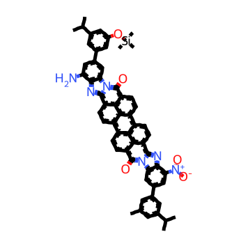 Cc1cc(-c2cc([N+](=O)[O-])c3nc4c5ccc6c7ccc8c(=O)n9c%10cc(-c%11cc(O[Si](C)(C)C)cc(C(C)C)c%11)cc(N)c%10nc9c9ccc(c%10ccc(c(=O)n4c3c2)c5c%106)c7c89)cc(C(C)C)c1